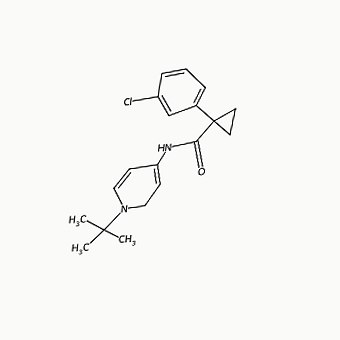 CC(C)(C)N1C=CC(NC(=O)C2(c3cccc(Cl)c3)CC2)=CC1